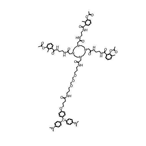 CC(=O)Oc1cccc(C(=O)NCCNC(=O)CN2CCN(CC(=O)NCCCOCOCOCCCNC(=O)CCCOc3ccc([C+](c4ccc(N(C)C)cc4)c4ccc(N(C)C)cc4)cc3)CCN(CC(=O)NCCNC(=O)c3cccc(C)c3OC(C)=O)CCN(CC(=O)NCCNC(=O)c3cccc(OC(C)=O)c3C)CC2)c1C